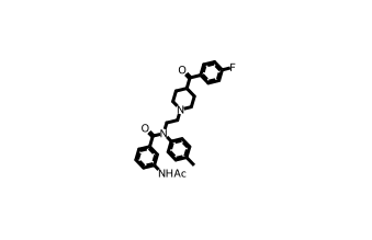 CC(=O)Nc1cccc(C(=O)N(CCN2CCC(C(=O)c3ccc(F)cc3)CC2)c2ccc(C)cc2)c1